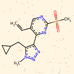 C=Cc1cnc(S(C)(=O)=O)nc1-c1nnn(C)c1CC1CC1